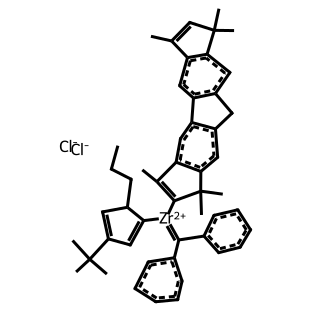 CCCC1C=C(C(C)(C)C)C=[C]1[Zr+2]([C]1=C(C)c2cc3c(cc2C1(C)C)Cc1cc2c(cc1-3)C(C)=CC2(C)C)=[C](c1ccccc1)c1ccccc1.[Cl-].[Cl-]